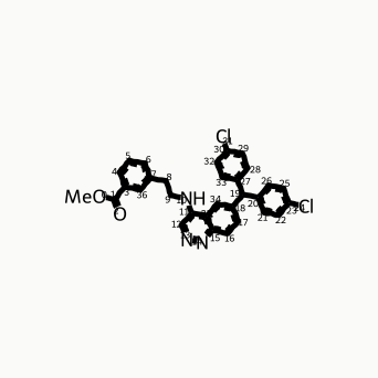 COC(=O)c1cccc(CCNc2cnnc3ccc(C(c4ccc(Cl)cc4)c4ccc(Cl)cc4)cc23)c1